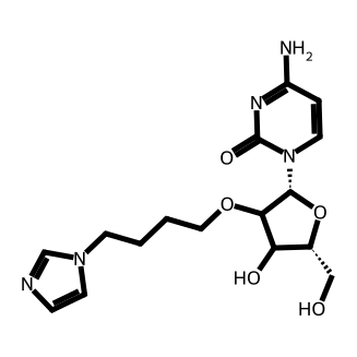 Nc1ccn([C@@H]2O[C@H](CO)C(O)C2OCCCCn2ccnc2)c(=O)n1